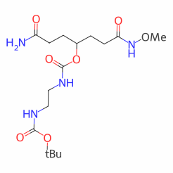 CONC(=O)CCC(CCC(N)=O)OC(=O)NCCNC(=O)OC(C)(C)C